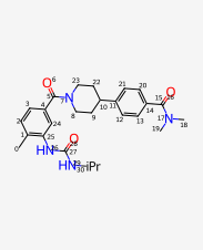 Cc1ccc(C(=O)N2CCC(c3ccc(C(=O)N(C)C)cc3)CC2)cc1NC(=O)NC(C)C